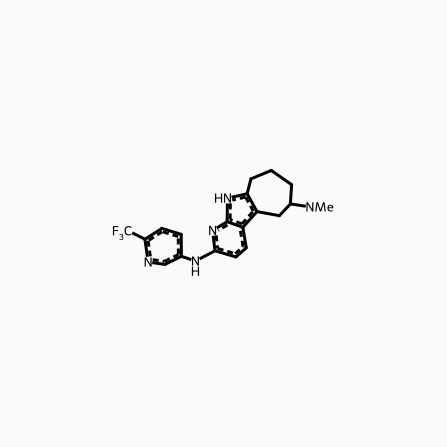 CNC1CCCc2[nH]c3nc(Nc4ccc(C(F)(F)F)nc4)ccc3c2C1